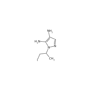 CC(CI)n1ncc(N)c1N